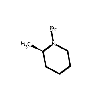 CC(C)N1CCCC[C@H]1C